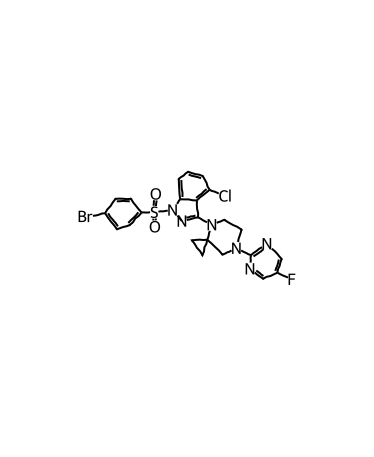 O=S(=O)(c1ccc(Br)cc1)n1nc(N2CCN(c3ncc(F)cn3)CC23CC3)c2c(Cl)cccc21